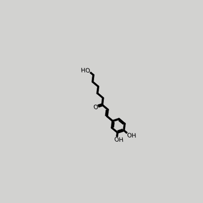 O=C(C=Cc1ccc(O)c(O)c1)CCCCCO